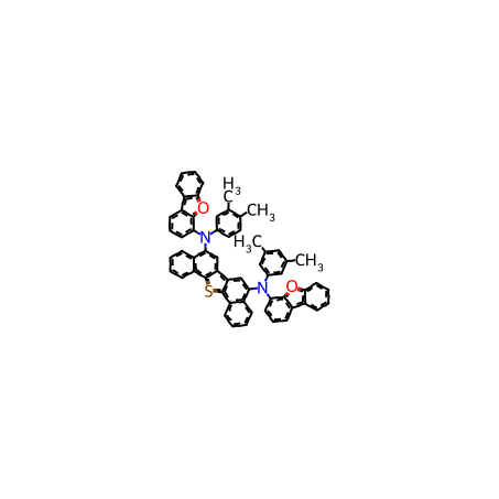 Cc1cc(C)cc(N(c2cc3c4cc(N(c5ccc(C)c(C)c5)c5cccc6c5oc5ccccc56)c5ccccc5c4sc3c3ccccc23)c2cccc3c2oc2ccccc23)c1